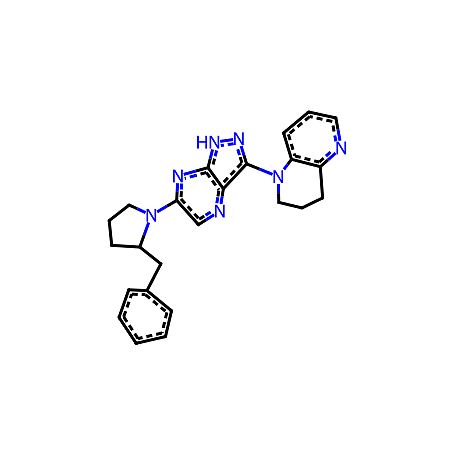 c1ccc(CC2CCCN2c2cnc3c(N4CCCc5ncccc54)n[nH]c3n2)cc1